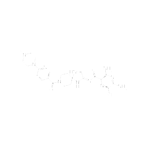 CN1CCN(c2ccc(C(=O)N3CCC4(CC3)NC/C(=N\C(=O)c3nc(Cl)c(N)nc3N)N4)cn2)CC1